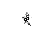 C=C1CCC2[C@](C)(COCN=O)C=CC(=O)[C@]2(C)[C@H]1CC(=O)OC